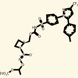 CCOC(=O)OC(C)O/N=[N+](\[O-])N1CC[C@H]1COC(=O)NS(=O)(=O)c1ccc(-n2nc(C(F)(F)F)cc2-c2ccc(C)cc2)cc1